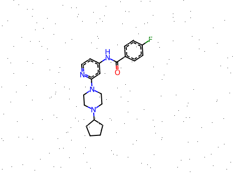 O=C(Nc1ccnc(N2CCN(C3CCCC3)CC2)c1)c1ccc(F)cc1